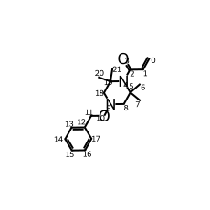 C=CC(=O)N1C(C)(C)CN(OCc2ccccc2)CC1(C)C